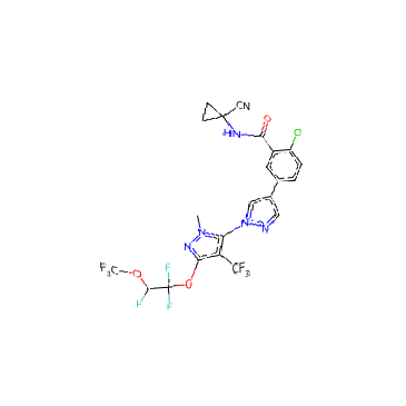 Cn1nc(OC(F)(F)C(F)OC(F)(F)F)c(C(F)(F)F)c1-n1cc(-c2ccc(Cl)c(C(=O)NC3(C#N)CC3)c2)cn1